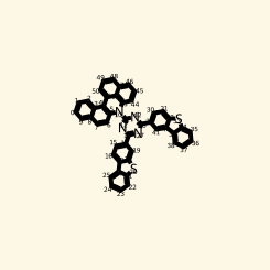 c1ccc2c3c(ccc2c1)N(c1nc(-c2ccc4c(c2)sc2ccccc24)nc(-c2ccc4sc5ccccc5c4c2)n1)c1cccc2cccc-3c12